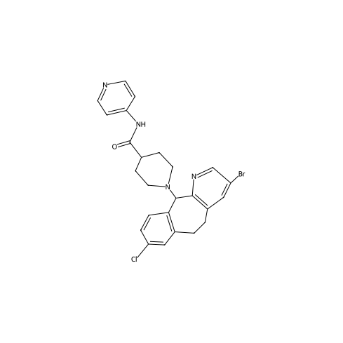 O=C(Nc1ccncc1)C1CCN(C2c3ccc(Cl)cc3CCc3cc(Br)cnc32)CC1